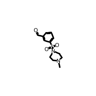 CN1CCN(S(=O)(=O)c2cccc(C=O)c2)CC1